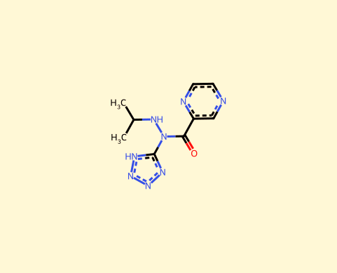 CC(C)NN(C(=O)c1cnccn1)c1nnn[nH]1